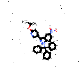 CC(C)Oc1ccc(-c2nn(C(c3ccccc3)(c3ccccc3)c3ccccc3)c3ccc([N+](=O)[O-])cc23)cn1